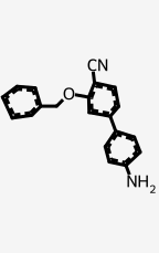 N#Cc1ccc(-c2ccc(N)cc2)cc1OCc1ccccc1